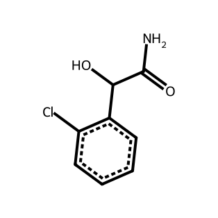 NC(=O)C(O)c1ccccc1Cl